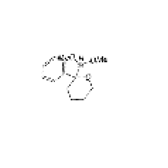 CO[SiH](OC)C1(c2ccccc2)CCCCO1